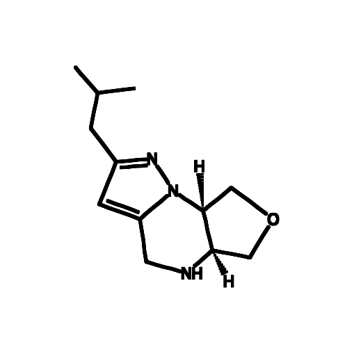 CC(C)Cc1cc2n(n1)[C@H]1COC[C@H]1NC2